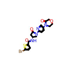 O=C(N[C@@H]1CC(=O)N(c2ccc(N3CCOCC3=O)cn2)C1)c1ccc(Br)s1